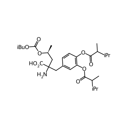 CC(C)COC(=O)O[C@@H](C)CC(N)(Cc1ccc(OC(=O)C(C)C(C)C)c(OC(=O)C(C)C(C)C)c1)C(=O)O